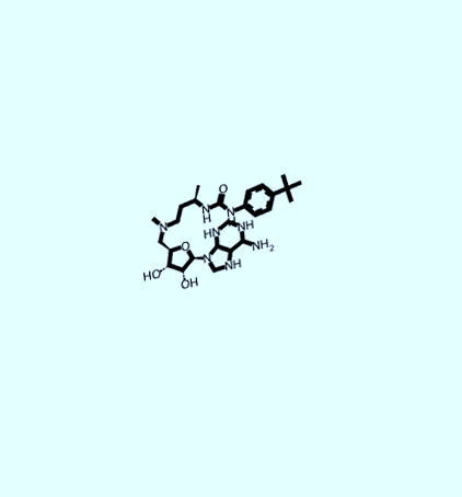 C[C@H](CCN(C)C[C@H]1O[C@@H](N2CNC3C(N)NCNC32)[C@H](O)[C@@H]1O)NC(=O)Nc1ccc(C(C)(C)C)cc1